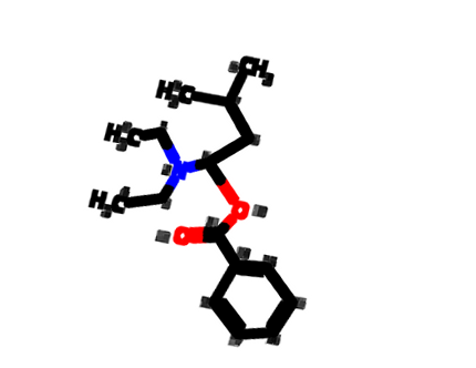 CCN(CC)C(CC(C)C)OC(=O)c1ccccc1